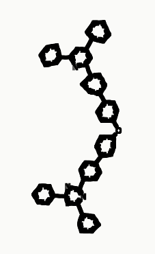 c1ccc(-c2cc(-c3ccccc3)nc(-c3ccc(-c4ccc(Oc5ccc(-c6ccc(-c7nc(-c8ccccc8)cc(-c8ccccc8)n7)cc6)cc5)cc4)cc3)c2)cc1